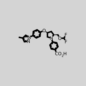 Cc1cnn(-c2ccc(O[C@H]3C[C@@H](COC(F)F)N(c4ccc(C(=O)O)cc4)C3)cc2)c1